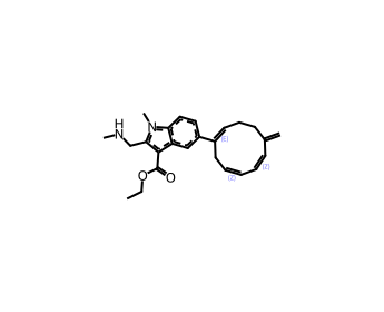 C=C1/C=C\C=C/C/C(c2ccc3c(c2)c(C(=O)OCC)c(CNC)n3C)=C\CC1